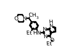 CCOc1nc(Nc2ccc([C@H](C)N3CCOCC3)cc2CC)nc2[nH]ccc12